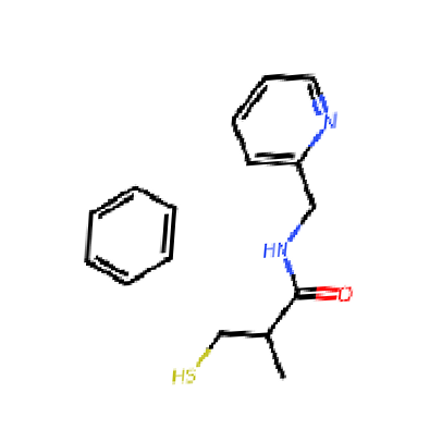 CC(CS)C(=O)NCc1ccccn1.c1ccccc1